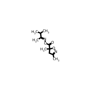 CC1=NOC(C)(C(=O)O/N=C(\C)C(C)C)C1